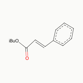 CC(C)COC(=O)/C=C/c1ccccc1